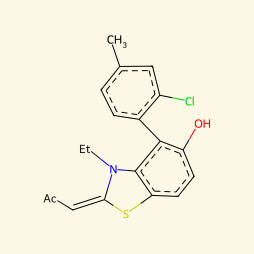 CCN1C(=CC(C)=O)Sc2ccc(O)c(-c3ccc(C)cc3Cl)c21